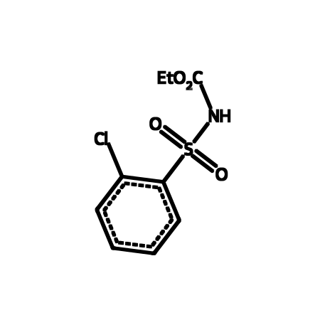 CCOC(=O)NS(=O)(=O)c1ccccc1Cl